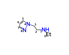 CCNCCn1cccn1